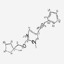 CC1(COc2ncc(C#Cc3ccccc3)cn2)CCCC1